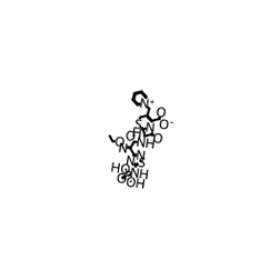 CCO/N=C(\C(=O)NC1C(=O)N2C(C(=O)[O-])=C(C[n+]3ccccc3)CS[C@H]12)c1nsc(NP(=O)(O)O)n1